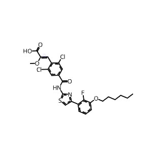 CCCCCCOc1cccc(-c2csc(NC(=O)c3cc(Cl)c(/C=C(\OC)C(=O)O)c(Cl)c3)n2)c1F